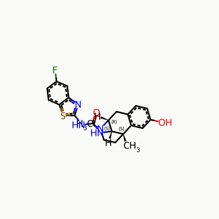 CN1CC[C@@]2(C)c3cc(O)ccc3C[C@@H]1[C@H]2NC(=O)Nc1nc2cc(F)ccc2s1